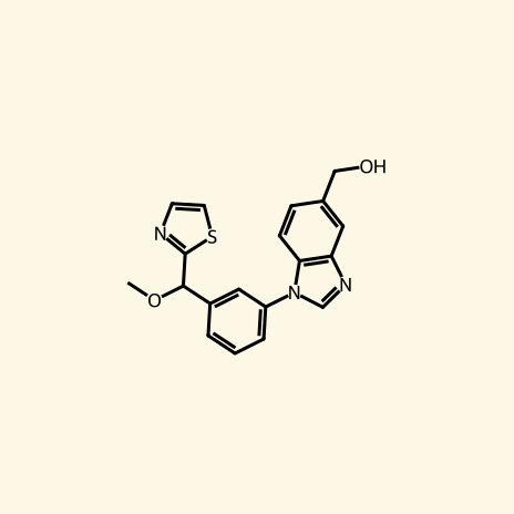 COC(c1cccc(-n2cnc3cc(CO)ccc32)c1)c1nccs1